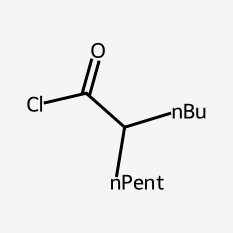 CCCCCC(CCCC)C(=O)Cl